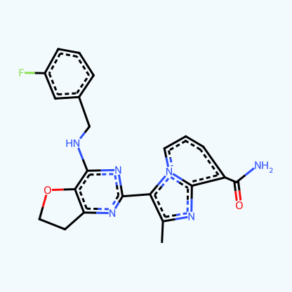 Cc1nc2c(C(N)=O)cccn2c1-c1nc2c(c(NCc3cccc(F)c3)n1)OCC2